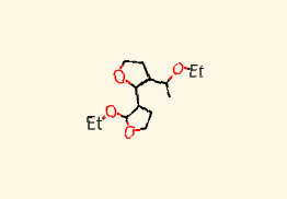 CCOC(C)C1CCOC1C1CCOC1OCC